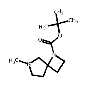 CN1CCC2(CCN2C(=O)OC(C)(C)C)C1